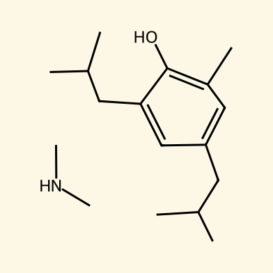 CNC.Cc1cc(CC(C)C)cc(CC(C)C)c1O